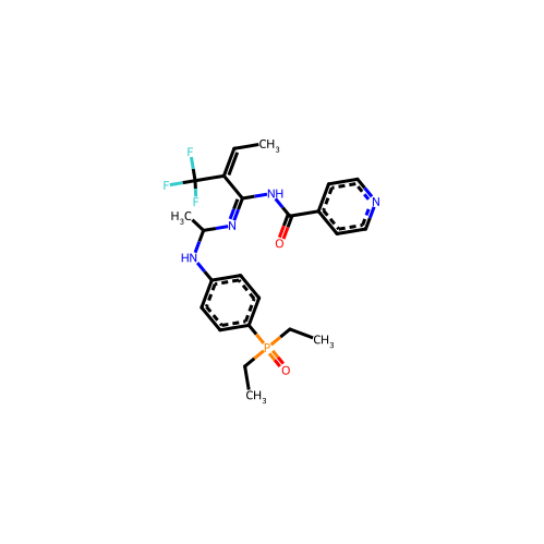 C/C=C(\C(=N/C(C)Nc1ccc(P(=O)(CC)CC)cc1)NC(=O)c1ccncc1)C(F)(F)F